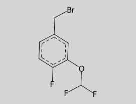 Fc1ccc(CBr)cc1OC(F)F